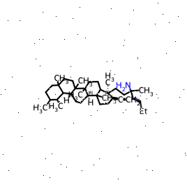 C=C=C1CCC2(C)C(CCC3(C)[C@@H]2CC[C@H]2C4C(C)C(C)CCC4(C)CCC23C)[C@@]1(C)CCC(C)(N)/C=C/CC